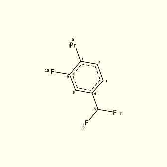 CC(C)c1ccc(C(F)F)cc1F